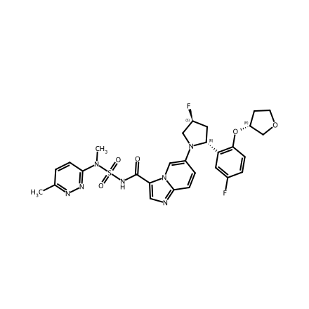 Cc1ccc(N(C)S(=O)(=O)NC(=O)c2cnc3ccc(N4C[C@@H](F)C[C@@H]4c4cc(F)ccc4O[C@@H]4CCOC4)cn23)nn1